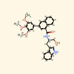 COc1cc(-c2cc(C(=O)N[C@@H](CO)Cc3c[nH]c4ccccc34)c3ccccc3c2)cc(OC)c1OC